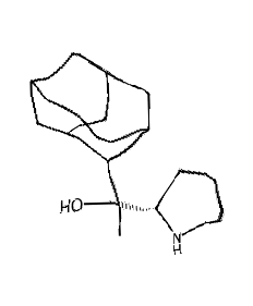 CC(O)(C1C2CC3CC(C2)CC1C3)[C@@H]1CCCN1